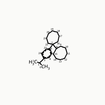 CC(C)c1ccc(C2(C3CCCCCCC3)CCCCCCC2)cc1